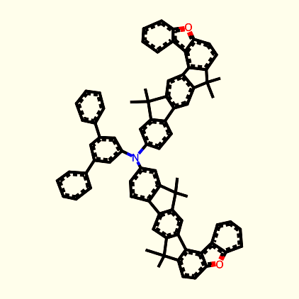 CC1(C)c2cc(N(c3cc(-c4ccccc4)cc(-c4ccccc4)c3)c3ccc4c(c3)C(C)(C)c3cc5c(cc3-4)C(C)(C)c3ccc4oc6ccccc6c4c3-5)ccc2-c2cc3c(cc21)-c1c(ccc2oc4ccccc4c12)C3(C)C